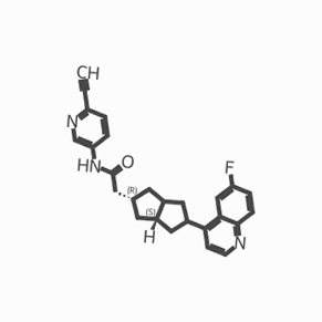 C#Cc1ccc(NC(=O)C[C@@H]2CC3CC(c4ccnc5ccc(F)cc45)C[C@@H]3C2)cn1